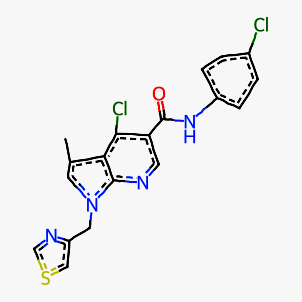 Cc1cn(Cc2cscn2)c2ncc(C(=O)Nc3ccc(Cl)cc3)c(Cl)c12